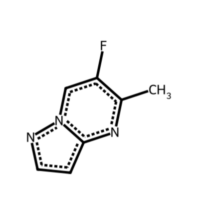 Cc1nc2ccnn2cc1F